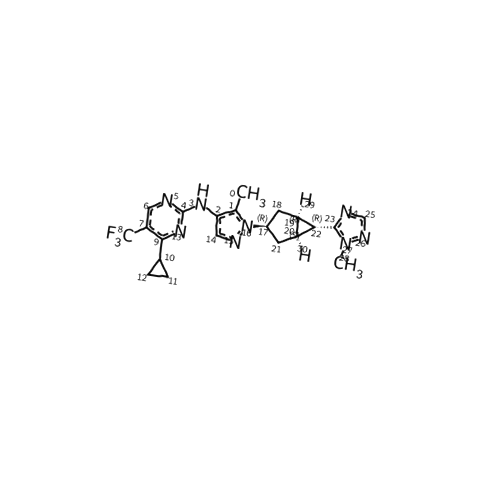 Cc1c(Nc2ncc(C(F)(F)F)c(C3CC3)n2)cnn1[C@H]1C[C@@H]2[C@H](C1)[C@H]2c1ncnn1C